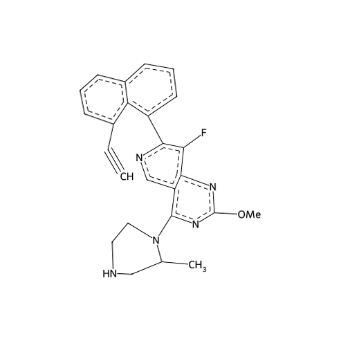 C#Cc1cccc2cccc(-c3ncc4c(N5CCNCC5C)nc(OC)nc4c3F)c12